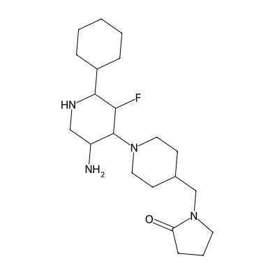 NC1CNC(C2CCCCC2)C(F)C1N1CCC(CN2CCCC2=O)CC1